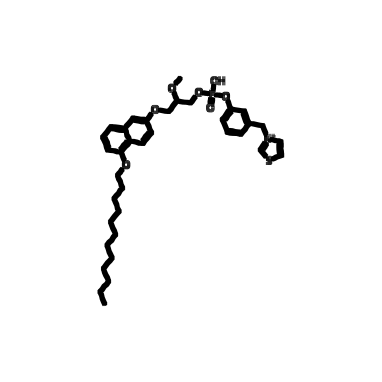 CCCCCCCCCCCCOc1cccc2cc(OCC(COP(=O)(O)Oc3cccc(C[n+]4ccsc4)c3)OC)ccc12